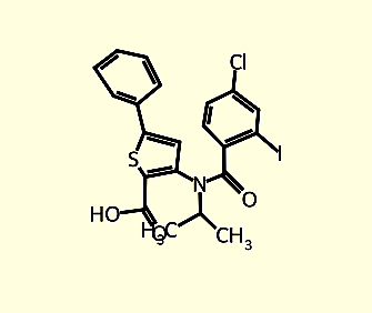 CC(C)N(C(=O)c1ccc(Cl)cc1I)c1cc(-c2ccccc2)sc1C(=O)O